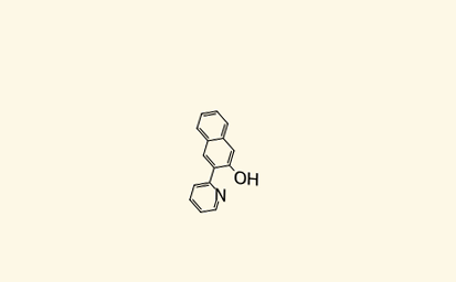 Oc1cc2ccccc2cc1-c1ccccn1